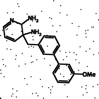 COc1cccc(-c2cccc(CC3(N)C=CC=NC3N)c2)c1